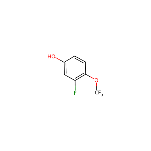 Oc1ccc(OC(F)(F)F)c(F)c1